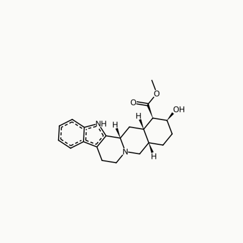 COC(=O)[C@@H]1[C@H]2C[C@H]3c4[nH]c5ccccc5c4CCN3C[C@H]2CC[C@@H]1O